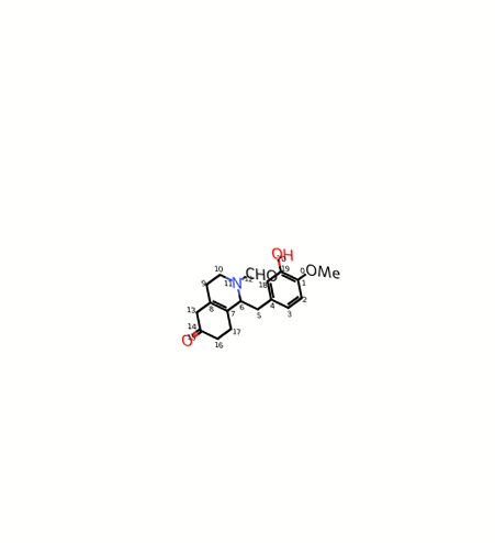 COc1ccc(CC2C3=C(CCN2C=O)CC(=O)CC3)cc1O